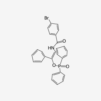 O=C(NC=C(OP(=O)(c1ccccc1)c1ccccc1)c1ccccc1)c1ccc(Br)cc1